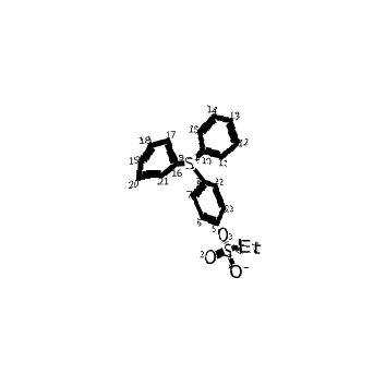 CCS(=O)(=O)[O-].c1ccc([S+](c2ccccc2)c2ccccc2)cc1